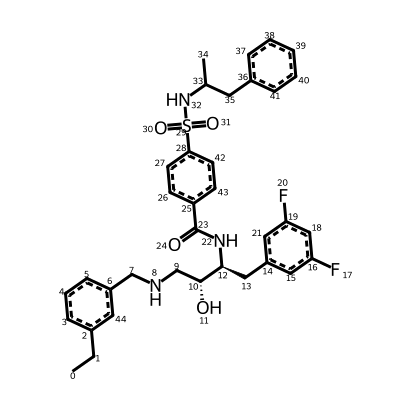 CCc1cccc(CNC[C@@H](O)[C@H](Cc2cc(F)cc(F)c2)NC(=O)c2ccc(S(=O)(=O)NC(C)Cc3ccccc3)cc2)c1